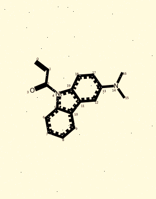 C=CC(=O)n1c2ccccc2c2cc(N(C)C)ccc21